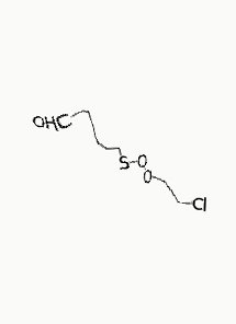 O=CCCCSOOCCCl